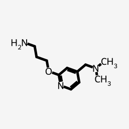 CN(C)Cc1ccnc(OCCCN)c1